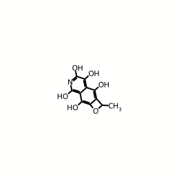 CC1Oc2c1c(O)c1c(O)c(O)nc(O)c1c2O